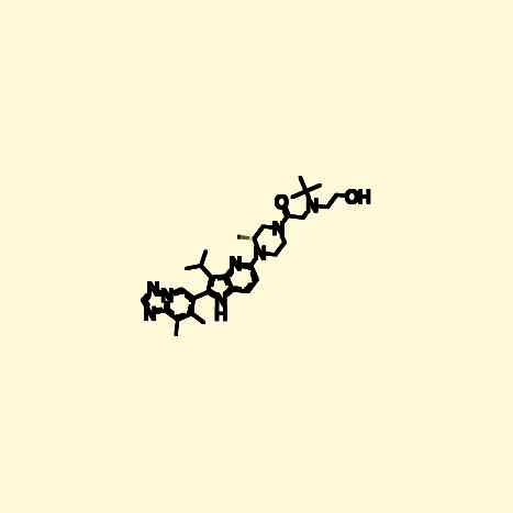 Cc1c(-c2[nH]c3ccc(N4CCN(C(=O)CN(CCO)C(C)(C)C)C[C@H]4C)nc3c2C(C)C)cn2ncnc2c1C